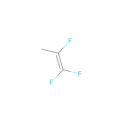 CC(F)=C(F)F